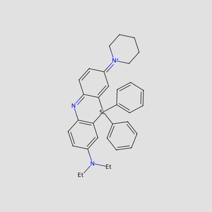 CCN(CC)c1ccc2c(c1)[Si](c1ccccc1)(c1ccccc1)C1=CC(=[N+]3CCCCC3)C=CC1=N2